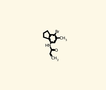 C=CC(=O)Nc1cc(C)c(Br)c2c1CCC2